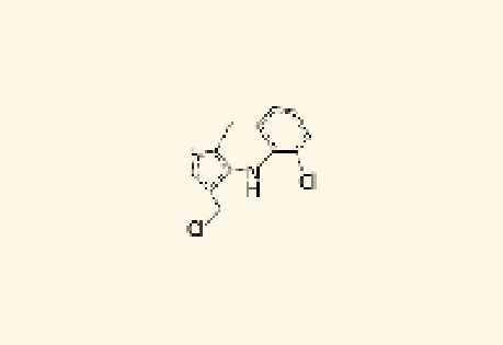 Cc1scc(CCl)c1Nc1ccccc1Cl